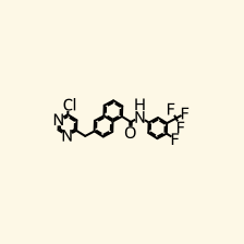 O=C(Nc1ccc(F)c(C(F)(F)F)c1)c1cccc2cc(Cc3cc(Cl)ncn3)ccc12